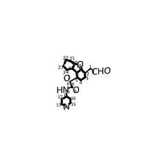 O=CCc1ccc(C(=O)C(=O)Nc2ccncc2)c2c1oc1ccccc12